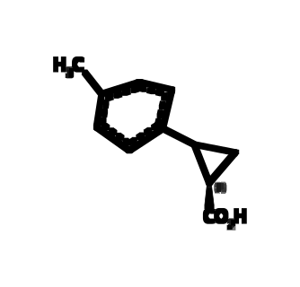 Cc1ccc(C2C[C@H]2C(=O)O)cc1